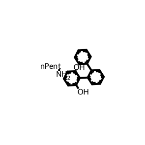 CCCCCN.Oc1cccc(O)c1-c1ccccc1-c1ccccc1